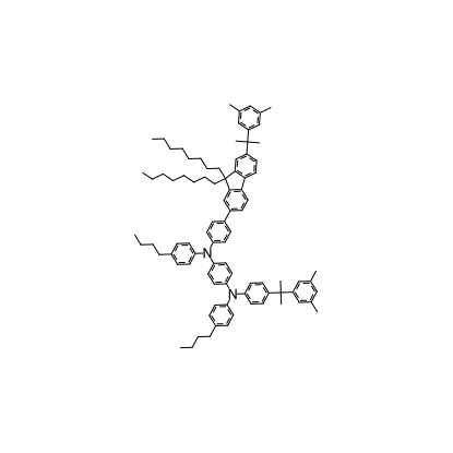 CCCCCCCCC1(CCCCCCCC)c2cc(-c3ccc(N(c4ccc(CCCC)cc4)c4ccc(N(c5ccc(CCCC)cc5)c5ccc(C(C)(C)c6cc(C)cc(C)c6)cc5)cc4)cc3)ccc2-c2ccc(C(C)(C)c3cc(C)cc(C)c3)cc21